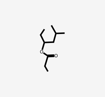 CCC(=O)OC(CC)CC(C)C